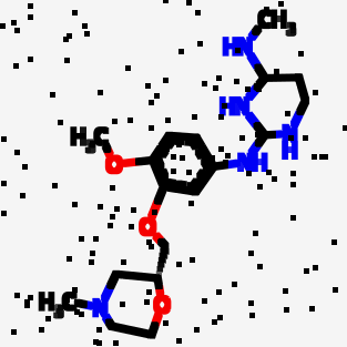 CNC1CCNC(Nc2ccc(OC)c(OC[C@H]3CN(C)CCO3)c2)N1